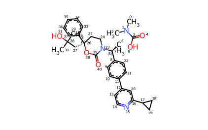 CN(C)C(=O)O.C[C@@H](c1ccc(-c2ccnc(C3CC3)c2)cc1)N1CC[C@](CC(C)(C)O)(c2ccccc2)OC1=O